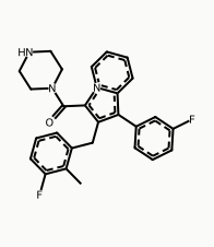 Cc1c(F)cccc1Cc1c(-c2cccc(F)c2)c2ccccn2c1C(=O)N1CCNCC1